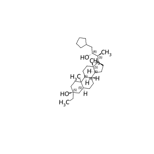 CC[C@]1(O)CCC2(C)[C@@H](CC[C@@H]3[C@@H]2CC[C@]2(C)[C@@H]([C@H](C)[C@H](O)CC4CCCC4)CC[C@@H]32)C1